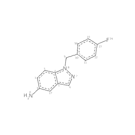 Nc1ccc2c(cnn2Cc2ccc(F)cc2)c1